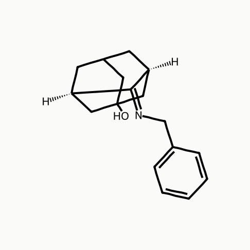 OC12CC3C[C@H](C1)C(=NCc1ccccc1)[C@@H](C3)C2